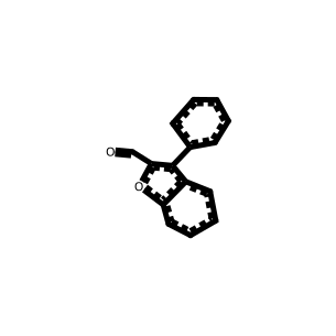 O=Cc1oc2ccccc2c1-c1ccccc1